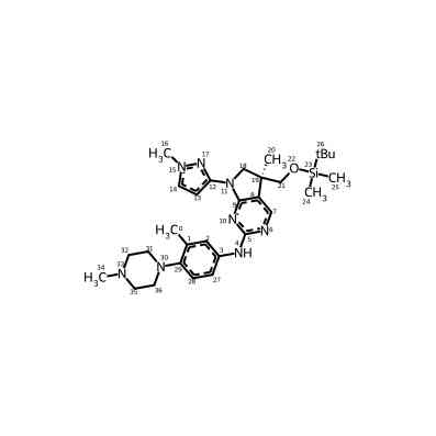 Cc1cc(Nc2ncc3c(n2)N(c2ccn(C)n2)C[C@@]3(C)CO[Si](C)(C)C(C)(C)C)ccc1N1CCN(C)CC1